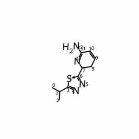 CC(C)c1nnc(C2CC=CC(N)=N2)s1